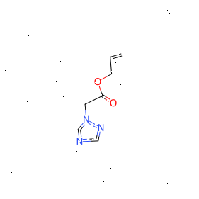 C=CCOC(=O)Cn1cncn1